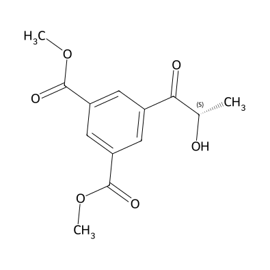 COC(=O)c1cc(C(=O)OC)cc(C(=O)[C@H](C)O)c1